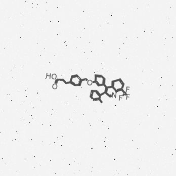 Cc1ccccc1-c1cnc2c(C(F)(F)F)cccc2c1-c1cccc(OCc2ccc(CCC(=O)O)cc2)c1